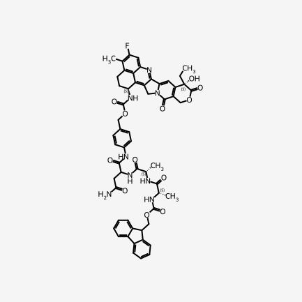 CC[C@@]1(O)C(=O)OCc2c1cc1n(c2=O)Cc2c-1nc1cc(F)c(C)c3c1c2[C@@H](NC(=O)OCc1ccc(NC(=O)C(CC(N)=O)NC(=O)[C@H](C)NC(=O)[C@H](C)NC(=O)OCC2c4ccccc4-c4ccccc42)cc1)CC3